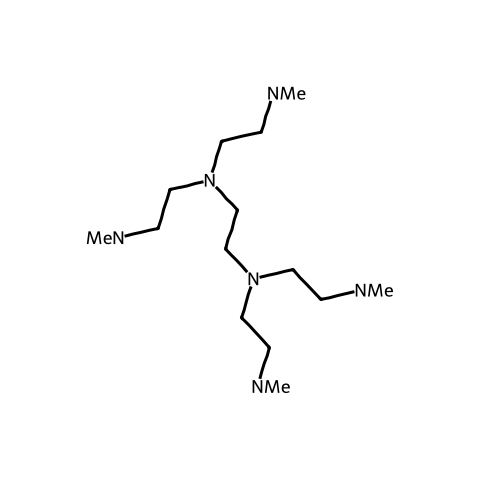 CNCCN(CCNC)CCN(CCNC)CCNC